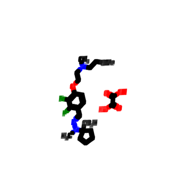 COCCN(C)CCOc1ccc(/C=N/N(C)C2(C(=O)O)CCCC2)c(F)c1F.O=C(O)C(=O)O